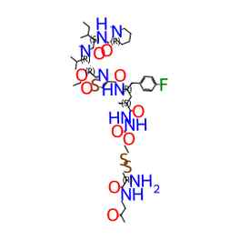 CCC(C)[C@H](NC(=O)[C@H]1CCCCN1C)C(=O)N(C)[C@H](C[C@@H](OC(C)=O)c1nc(C(=O)N[C@@H](Cc2ccc(F)cc2)C[C@H](C)C(=O)NNC(=O)OCCSSC[C@H](N)C(=O)NCCC(C)=O)cs1)C(C)C